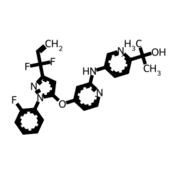 C=CC(F)(F)c1cc(Oc2ccnc(Nc3ccc(C(C)(C)O)nc3)c2)n(-c2ccccc2F)n1